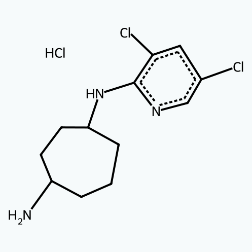 Cl.NC1CCCC(Nc2ncc(Cl)cc2Cl)CC1